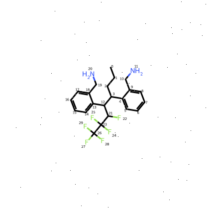 CCCC(c1ccccc1CN)C(c1ccccc1CN)C(F)C(F)(F)C(F)(F)F